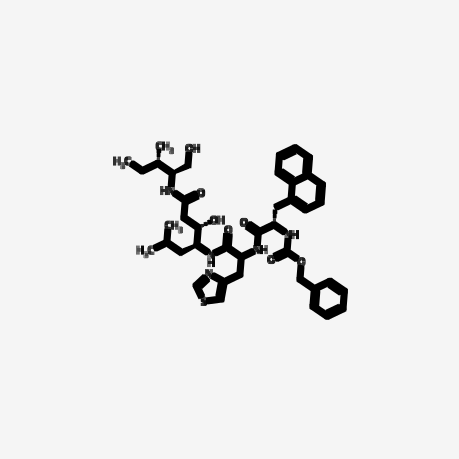 CC[C@H](C)[C@@H](CO)NC(=O)C[C@H](O)[C@H](CC(C)C)NC(=O)C(Cc1cscn1)NC(=O)[C@H](Cc1cccc2ccccc12)NC(=O)OCc1ccccc1